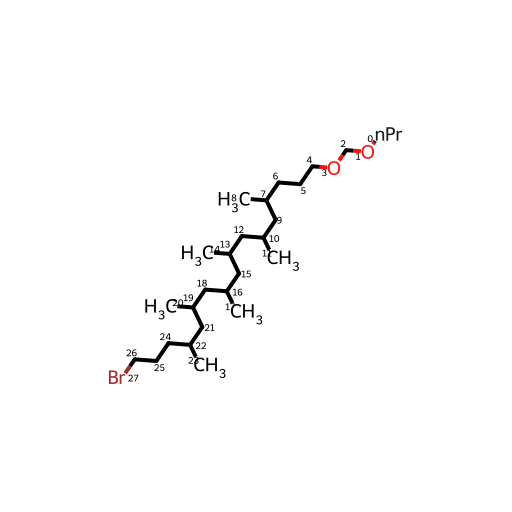 CCCOCOCCCC(C)CC(C)CC(C)CC(C)CC(C)CC(C)CCCBr